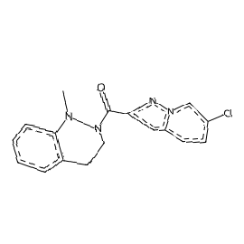 CN1c2ccccc2CCN1C(=O)c1cc2ccc(Cl)cn2n1